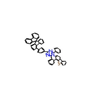 c1ccc(-c2nc(-c3ccc(-c4cccc5c4-c4ccccc4C54c5ccccc5-c5ccccc54)cc3)nc(-c3ccccc3-c3cccc4c3sc3ccccc34)n2)cc1